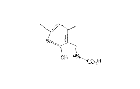 Cc1cc(C)c(CNC(=O)O)c(O)n1